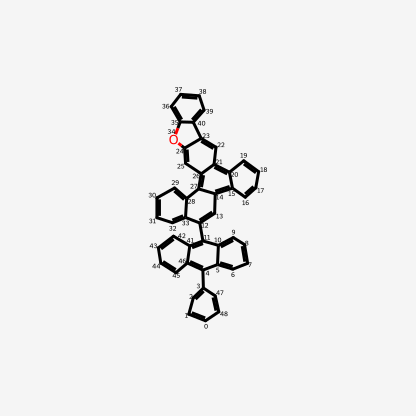 c1ccc(-c2c3ccccc3c(-c3cc4c5ccccc5c5cc6c(cc5c4c4ccccc34)oc3ccccc36)c3ccccc23)cc1